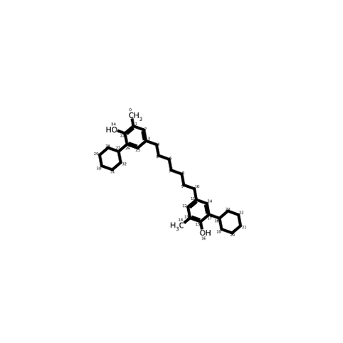 Cc1cc(CCCCCCCc2cc(C)c(O)c(C3CCCCC3)c2)cc(C2CCCCC2)c1O